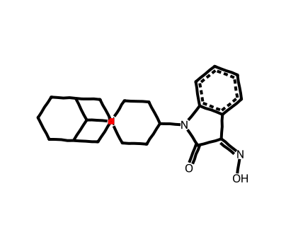 O=C1C(=NO)c2ccccc2N1C1CCN(C2C3CCCC2CCC3)CC1